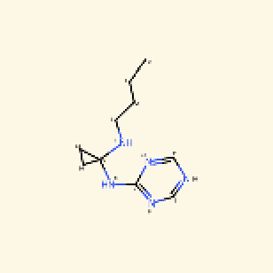 CCCCNC1(Nc2ncncn2)CC1